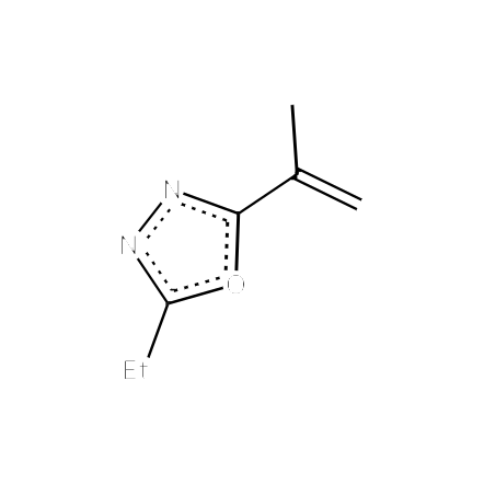 C=C(C)c1nnc(CC)o1